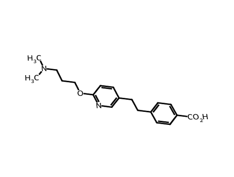 CN(C)CCCOc1ccc(CCc2ccc(C(=O)O)cc2)cn1